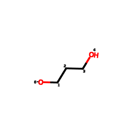 [O]CCCO